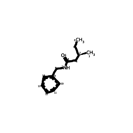 CC[C@@H](C)CC(=O)NCc1ccccc1